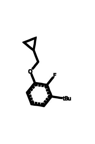 CC(C)(C)c1cccc(OCC2CC2)c1F